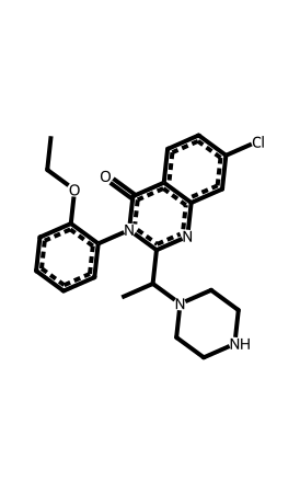 CCOc1ccccc1-n1c(C(C)N2CCNCC2)nc2cc(Cl)ccc2c1=O